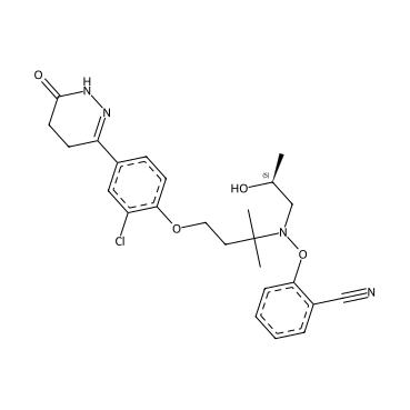 C[C@H](O)CN(Oc1ccccc1C#N)C(C)(C)CCOc1ccc(C2=NNC(=O)CC2)cc1Cl